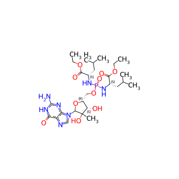 CCOC(=O)[C@H](CC(C)C)NP(=O)(N[C@@H](CC(C)C)C(=O)OCC)OC[C@H]1OC(n2cnc3c(=O)[nH]c(N)nc32)C(C)(O)[C@H]1O